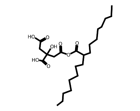 CCCCCCCCC(CCCCCCCC)C(=O)OC(=O)CC(O)(CC(=O)O)C(=O)O